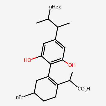 CCCCCCC(C)C(C)c1cc(O)c(C2=C(C(C)C(=O)O)CCC(CCC)C2)c(O)c1